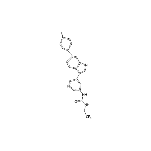 O=C(NCC(F)(F)F)Nc1cncc(-c2cnc3cc(-c4ccc(F)cc4)ccn23)c1